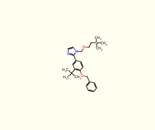 CC(C)(C)c1cc(-c2nccn2COCC[Si](C)(C)C)ccc1OCc1ccccc1